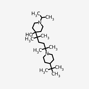 CC(C)N1CCC(O)(C(C)(C)CCC(C)(C)N2CCC(C(C)(C)C)CC2)CC1